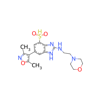 Cc1noc(C)c1-c1cc([SH](=O)=O)c2nc(NCCN3CCOCC3)[nH]c2c1